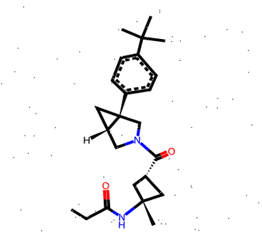 CCC(=O)N[C@]1(C)C[C@H](C(=O)N2C[C@@H]3C[C@]3(c3ccc(C(C)(C)C)cc3)C2)C1